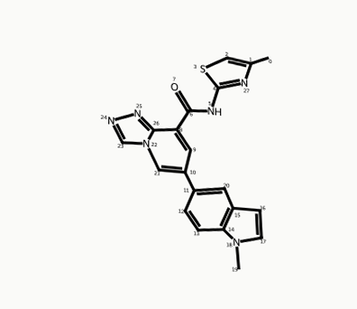 Cc1csc(NC(=O)c2cc(-c3ccc4c(ccn4C)c3)cn3cnnc23)n1